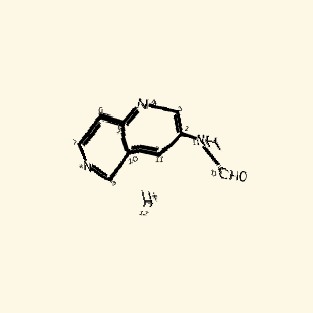 O=CNc1cnc2ccncc2c1.[H+]